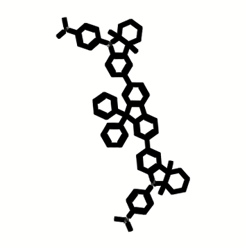 CN(C)c1ccc(N2c3ccc(-c4ccc5c(c4)C(c4ccccc4)(c4ccccc4)c4cc(-c6ccc7c(c6)C6(C)CCCCC6(C)N7c6ccc(N(C)C)cc6)ccc4-5)cc3C3(C)CCCCC23C)cc1